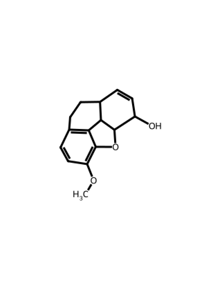 COc1ccc2c3c1OC1C(O)C=CC(CC2)C31